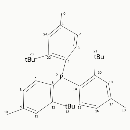 Cc1ccc(P(c2ccc(C)cc2C(C)(C)C)c2ccc(C)cc2C(C)(C)C)c(C(C)(C)C)c1